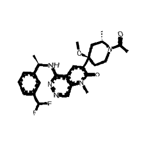 CO[C@]1(c2cc3c(N[C@H](C)c4cccc(C(F)F)c4)nncc3n(C)c2=O)CCN(C(C)=O)[C@@H](C)C1